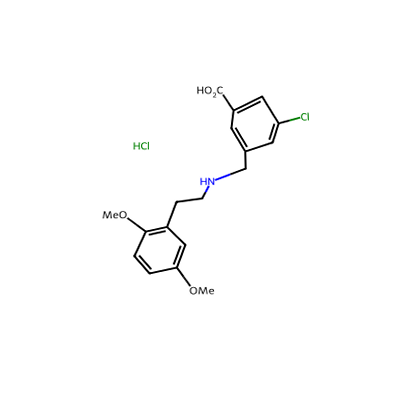 COc1ccc(OC)c(CCNCc2cc(Cl)cc(C(=O)O)c2)c1.Cl